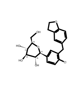 OC[C@H]1O[C@@H](c2ccc(Cl)c(Cc3ccc4c(c3)CCO4)c2)[C@H](O)[C@@H](O)[C@@H]1O